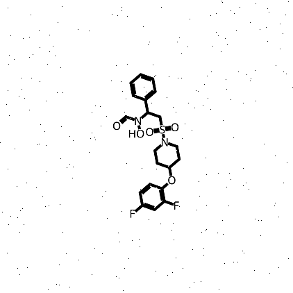 O=CN(O)C(CS(=O)(=O)N1CCC(Oc2ccc(F)cc2F)CC1)c1ccccc1